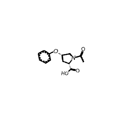 CC(=O)N1C[C@@H](Oc2ccccc2)C[C@H]1C(=O)O